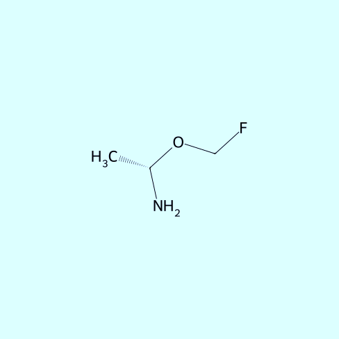 C[C@@H](N)OCF